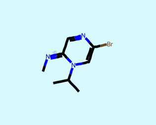 C/N=c1/cnc(Br)cn1C(C)C